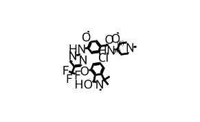 COc1cc(C(=O)N[C@@H]2CCN(C)C[C@@H]2OC)c(Cl)cc1Nc1ncc(C(F)(F)F)c(Oc2cccc3c2C(O)N(C)C3(C)C)n1